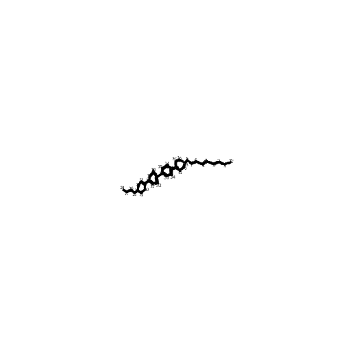 CCCCCCCCCC1CC=C(c2ccc(-c3ccc(C4CCC(CCCC)CC4)cc3)cc2)CC1